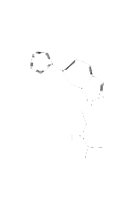 CC(C)NCCN1N=CC2=CC=C(c3ccsc3)CC21